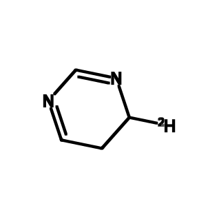 [2H]C1CC=NC=N1